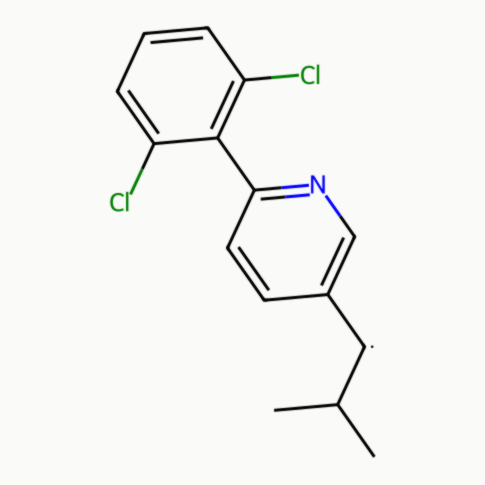 CC(C)[CH]c1ccc(-c2c(Cl)cccc2Cl)nc1